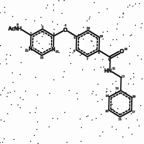 CC(=O)Nc1cc(Oc2ccc(C(=O)NCc3ccccc3)cc2)ncn1